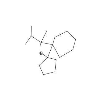 [B]C1(C2(C(C)(C)C(C)C)CCCCC2)CCCC1